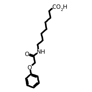 O=C(O)CCCCCCCNC(=O)COc1ccccc1